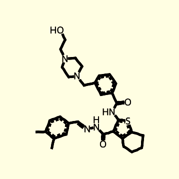 Cc1ccc(/C=N/NC(=O)c2c(NC(=O)c3cccc(CN4CCN(CCO)CC4)c3)sc3c2CCCC3)cc1C